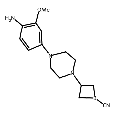 COc1cc(N2CCN(C3CB(C#N)C3)CC2)ccc1N